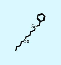 [CH2]CCC[Se]CCCC[Se]Cc1ccccc1